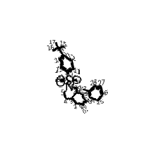 C[C@@H]1C=C2CCN(S(=O)(=O)c3ccc(C(C)(C)C)cc3)C[C@@]2(Cc2ccccc2)CC1